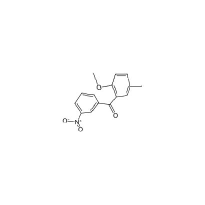 COc1ccc(C)cc1C(=O)c1cccc([N+](=O)[O-])c1